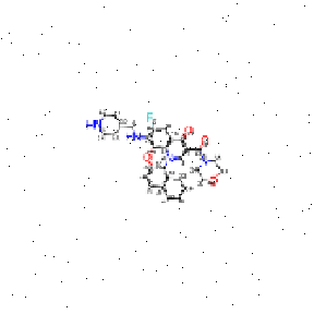 O=C(c1cn2c3c(c(NCC4CCNCC4)c(F)cc3c1=O)Oc1ccc3ccccc3c1-2)N1CCOCC1